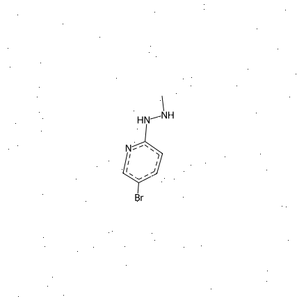 CNNc1ccc(Br)cn1